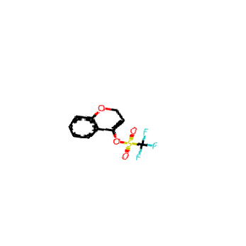 O=S(=O)(OC1=CCOc2ccccc21)C(F)(F)F